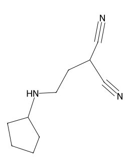 N#CC(C#N)CCNC1CCCC1